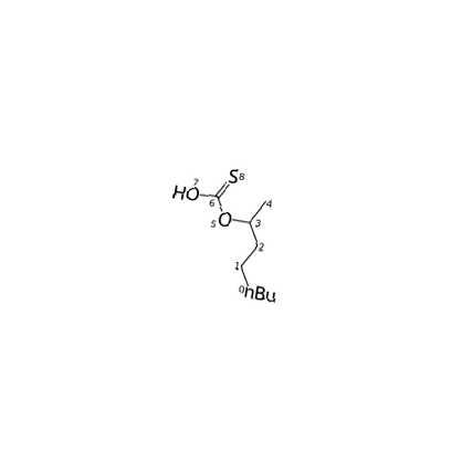 CCCCCCC(C)OC(O)=S